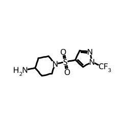 NC1CCN(S(=O)(=O)c2cnn(C(F)(F)F)c2)CC1